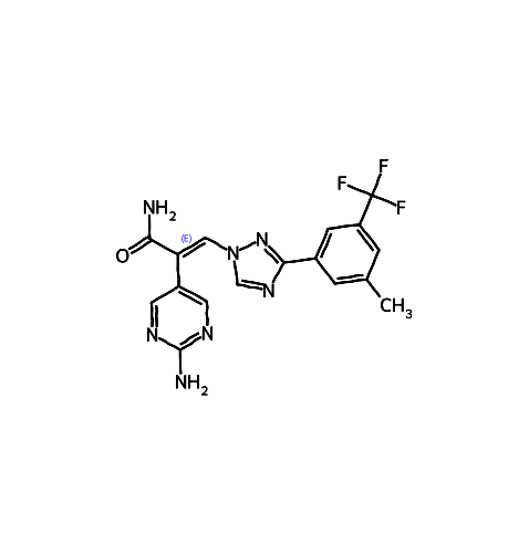 Cc1cc(-c2ncn(/C=C(/C(N)=O)c3cnc(N)nc3)n2)cc(C(F)(F)F)c1